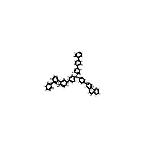 c1ccc(-c2ccc(-c3ccc(N(c4ccc(-c5ccc6c(ccc7ccccc76)c5)cc4)c4ccc(-c5ccc6oc7c(-c8ccccc8)cccc7c6c5)cc4)cc3)cc2)cc1